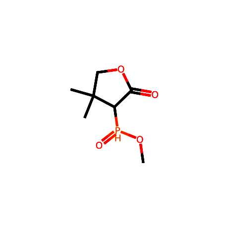 CO[PH](=O)C1C(=O)OCC1(C)C